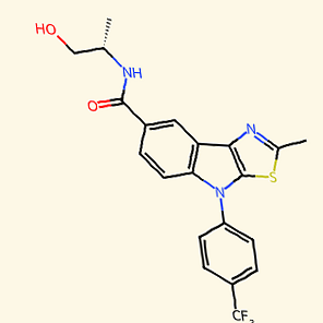 Cc1nc2c3cc(C(=O)N[C@@H](C)CO)ccc3n(-c3ccc(C(F)(F)F)cc3)c2s1